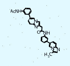 CC(=O)Nc1cccc(-c2ccc3nc(CC(=O)Nc4cccc(-c5ccc6ncc(C)n6c5)c4)cn3c2)c1